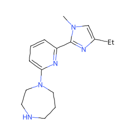 CCc1cn(C)c(-c2cccc(N3CCCNCC3)n2)n1